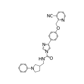 N#Cc1cccnc1COc1ccc(-c2cn(C(=O)NCC3CCN(c4ccccc4)C3)cn2)cc1